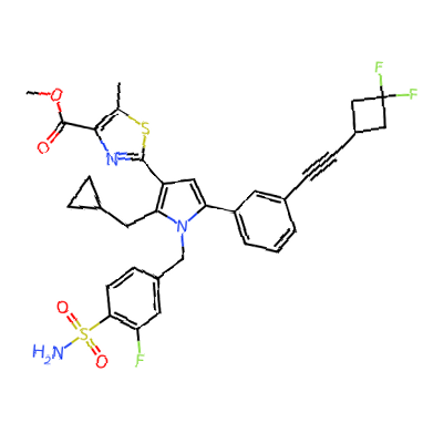 COC(=O)c1nc(-c2cc(-c3cccc(C#CC4CC(F)(F)C4)c3)n(Cc3ccc(S(N)(=O)=O)c(F)c3)c2CC2CC2)sc1C